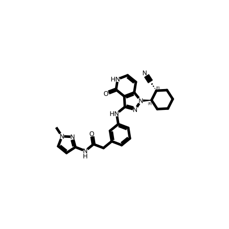 Cn1ccc(NC(=O)Cc2cccc(Nc3nn([C@@H]4CCCC[C@H]4C#N)c4cc[nH]c(=O)c34)c2)n1